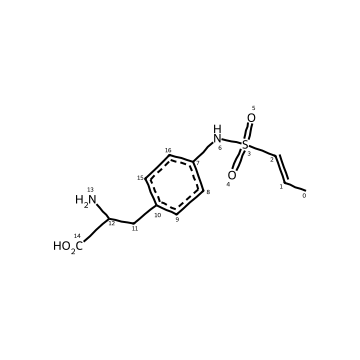 CC=CS(=O)(=O)Nc1ccc(CC(N)C(=O)O)cc1